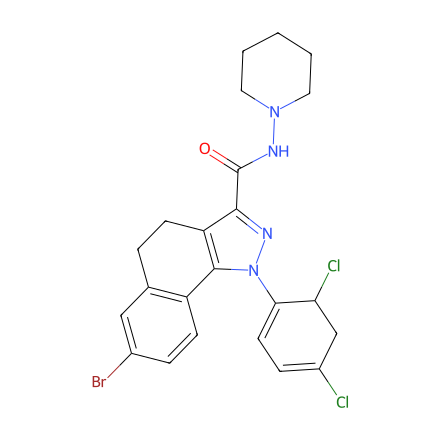 O=C(NN1CCCCC1)c1nn(C2=CC=C(Cl)CC2Cl)c2c1CCc1cc(Br)ccc1-2